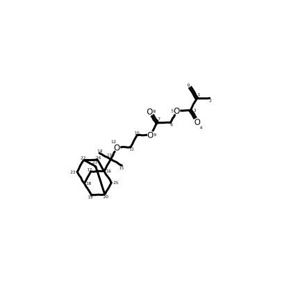 C=C(C)C(=O)OCC(=O)OCCOC(C)(C)C12CC3CC(CC(C3)C1)C2